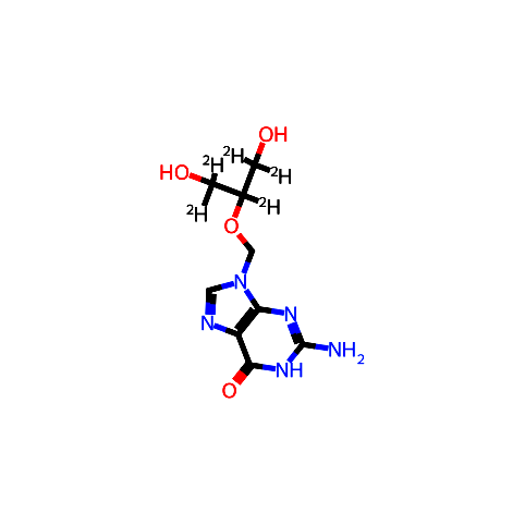 [2H]C([2H])(O)C([2H])(OCn1cnc2c(=O)[nH]c(N)nc21)C([2H])([2H])O